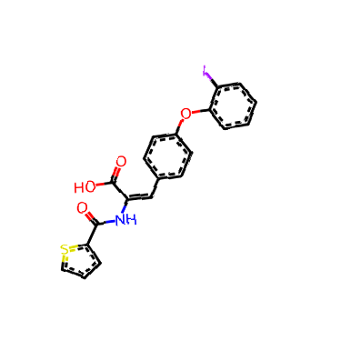 O=C(O)/C(=C\c1ccc(Oc2ccccc2I)cc1)NC(=O)c1cccs1